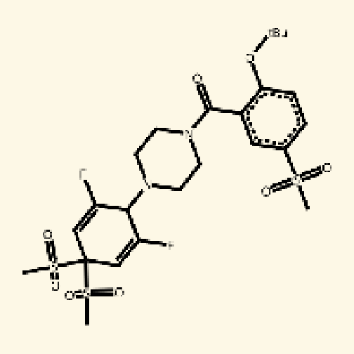 CC(C)(C)Oc1ccc(S(C)(=O)=O)cc1C(=O)N1CCN(C2C(F)=CC(S(C)(=O)=O)(S(C)(=O)=O)C=C2F)CC1